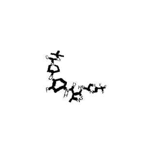 Cc1nsc(Nc2cnc(C(F)(F)F)cn2)c1C(=O)Nc1ccc(OC2CCN(C(=O)OC(C)(C)C)CC2)c(F)c1